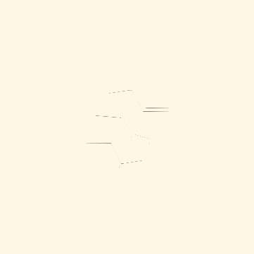 C=CCC.CCCC.CCCC